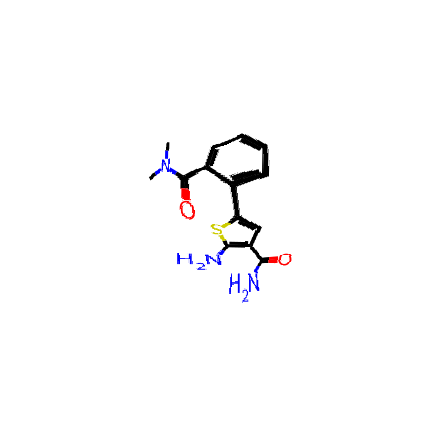 CN(C)C(=O)c1ccccc1-c1cc(C(N)=O)c(N)s1